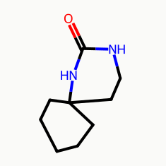 O=C1NCCC2(CCCCC2)N1